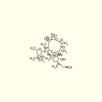 C#CCCN(C)[C@H]1C[C@@H](C)O[C@@H](O[C@@H]2[C@@H](C)C(=O)[C@@H](C)C(=O)O[C@H](CC)[C@@](C)(O)[C@H](O)[C@@H](C)/C(=N/O[C@@H]3O[C@H](C)C[C@H](N(C)C)[C@H]3O)[C@H](C)C[C@@]2(C)OC)[C@@H]1O